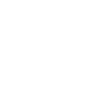 CCc1ccc(COCOC)c(F)c1